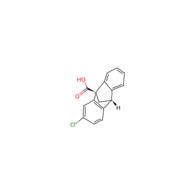 O=C(O)[C@]12C[C@H](c3ccccc31)c1ccc(Cl)cc12